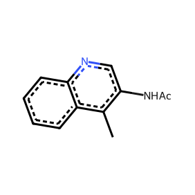 CC(=O)Nc1cnc2ccccc2c1C